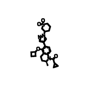 C[C@H]1CCc2c(ccc(-c3cnn(C4CCCS(=O)(=O)C4)c3)c2OC2CCC2)N1C(=O)C1CC1